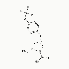 O=C(O)N1C[C@@H](Oc2ccc(OC(F)(F)F)cn2)C[C@H]1CO